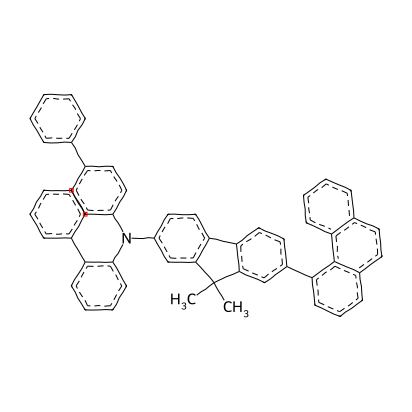 CC1(C)c2cc(-c3cccc4ccc5ccccc5c34)ccc2-c2ccc(N(c3ccc(-c4ccccc4)cc3)c3ccccc3-c3ccccc3)cc21